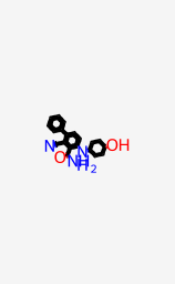 N#Cc1c(-c2ccccc2)ccc(NC2CCC(O)CC2)c1C(N)=O